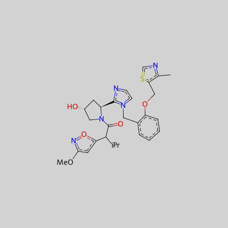 COc1cc(C(C(=O)N2C[C@H](O)C[C@H]2c2nccn2Cc2ccccc2OCc2scnc2C)C(C)C)on1